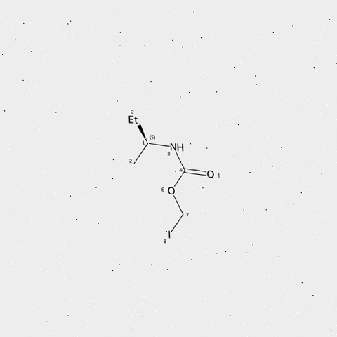 CC[C@H](C)NC(=O)OCI